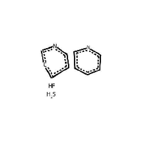 F.S.c1ccncc1.c1ccncc1